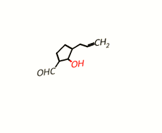 C=CCC1CCC(C=O)C1O